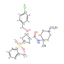 CCOC(=O)N1CCC(C#N)(NC(=O)[C@@H]2C[C@@H](S(=O)(=O)c3ccccc3C(F)(F)F)C[C@@H]2OCc2ccc(Cl)cc2)CC1